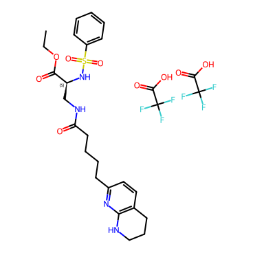 CCOC(=O)[C@H](CNC(=O)CCCCc1ccc2c(n1)NCCC2)NS(=O)(=O)c1ccccc1.O=C(O)C(F)(F)F.O=C(O)C(F)(F)F